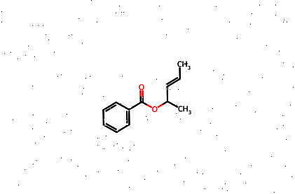 C/C=C/C(C)OC(=O)c1ccccc1